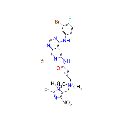 CCc1nc([N+](=O)[O-])c(C[N+](C)(C)C/C=C/C(=O)Nc2cc3c(Nc4ccc(F)c(Br)c4)ncnc3cn2)n1C.[Br-]